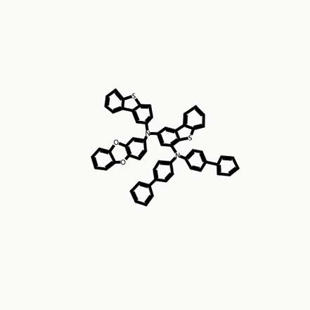 c1ccc(-c2ccc(N(c3ccc(-c4ccccc4)cc3)c3cc(N(c4ccc5c(c4)Oc4ccccc4O5)c4ccc5sc6ccccc6c5c4)cc4c3sc3ccccc34)cc2)cc1